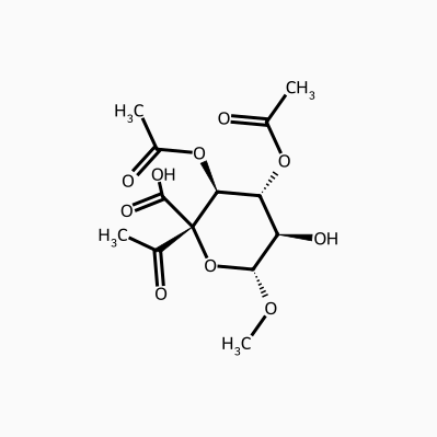 CO[C@@H]1O[C@](C(C)=O)(C(=O)O)[C@@H](OC(C)=O)[C@H](OC(C)=O)[C@H]1O